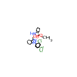 CCOC(=O)[C@H]1C2CCC(C2)[C@H]1NOCc1nn(-c2ccc(Cl)cc2Cl)c2c1CCCC2